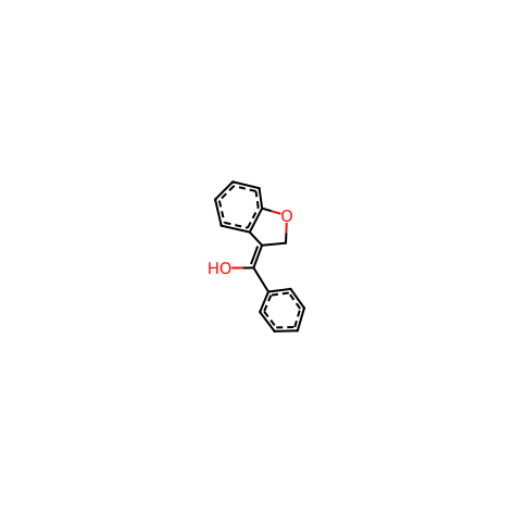 OC(=C1COc2ccccc21)c1ccccc1